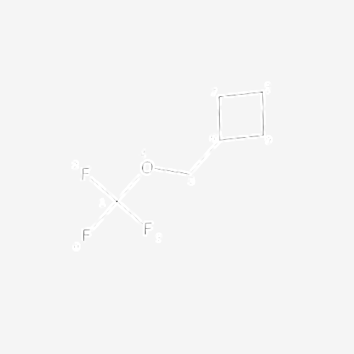 FC(F)(F)OCC1C[CH]C1